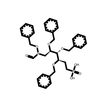 O=CN(C[C@@H](OCc1ccccc1)[C@H](OCc1ccccc1)[C@@H](CCP(=O)(O)O)OCc1ccccc1)OCc1ccccc1